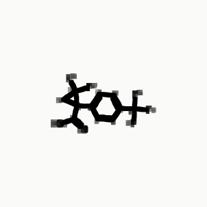 O=C(O)C1(c2ccc(C(F)(F)F)cc2)CC1(F)F